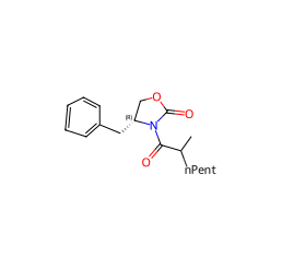 CCCCCC(C)C(=O)N1C(=O)OC[C@H]1Cc1ccccc1